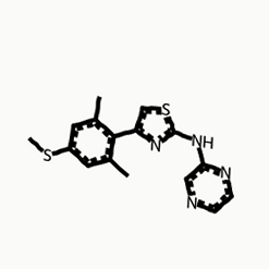 CSc1cc(C)c(-c2csc(Nc3cnccn3)n2)c(C)c1